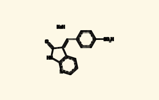 O=C1Nc2ncccc2C1=Cc1ccc(S(=O)(=O)O)cc1.[NaH]